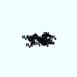 C=CCOC1(C)CCN(c2c([C@H](OC(C)(C)C)C(=O)OC)c(C)nc3cc(-c4cccc(-c5cc(C)ccc5OC(C)C=C)c4)nn23)CC1